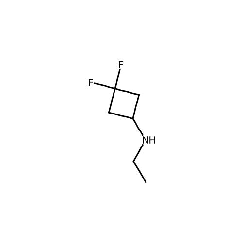 CCNC1CC(F)(F)C1